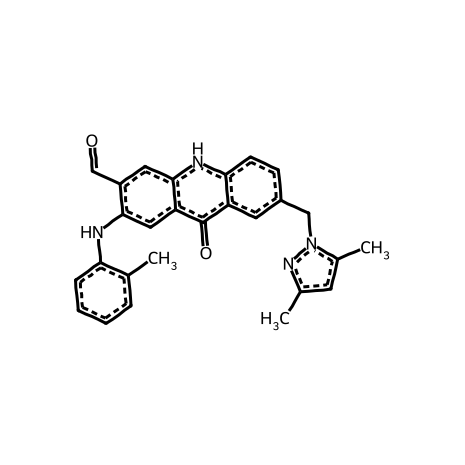 Cc1cc(C)n(Cc2ccc3[nH]c4cc(C=O)c(Nc5ccccc5C)cc4c(=O)c3c2)n1